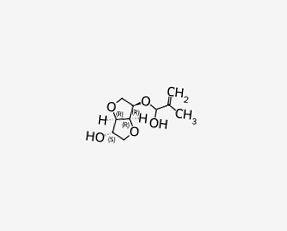 C=C(C)C(O)O[C@@H]1CO[C@H]2[C@@H]1OC[C@@H]2O